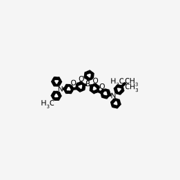 Cc1ccc(N(c2ccccc2)c2ccc3c(c2)oc2c4c(ccc23)B2c3ccc5c(oc6cc(N(c7ccccc7)c7ccc(C(C)(C)C)cc7)ccc65)c3Oc3cccc(c32)O4)cc1